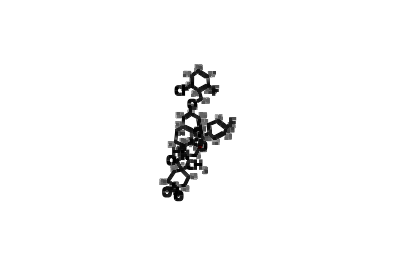 CC1(C(=O)N2CC[C@@]3(S(=O)(=O)c4ccc(F)cc4)c4ccc(OCc5c(F)cccc5Cl)cc4CC[C@@H]23)CCS(=O)(=O)CC1